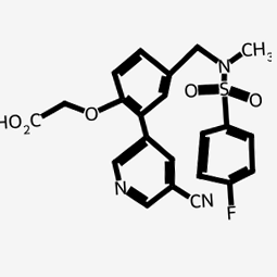 CN(Cc1ccc(OCC(=O)O)c(-c2cncc(C#N)c2)c1)S(=O)(=O)c1ccc(F)cc1